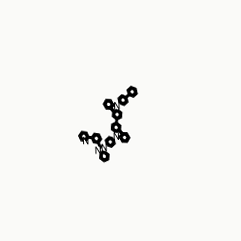 c1ccc(-c2ccc(-n3c4ccccc4c4cc(-c5ccc6c(c5)c5ccccc5n6-c5ccc(-n6c(-c7cccc(-c8ccccn8)c7)nc7ccccc76)cc5)ccc43)cc2)cc1